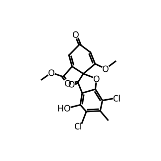 COC(=O)C1=CC(=O)C=C(OC)C12Oc1c(Cl)c(C)c(Cl)c(O)c1C2=O